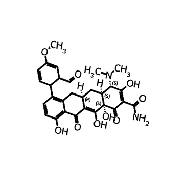 COC1=CC(C=O)C(c2ccc(O)c3c2C[C@H]2C[C@H]4[C@H](N(C)C)C(O)=C(C(N)=O)C(=O)[C@@]4(O)C(O)=C2C3=O)C=C1